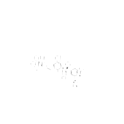 Cc1c(C=C2CCN(C(=O)O)C(C(C)(C)C)C2)cc(Cl)cc1NC(=O)c1cc(C#N)n(C)c(=O)c1